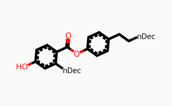 CCCCCCCCCCCCc1ccc(OC(=O)c2ccc(O)cc2CCCCCCCCCC)cc1